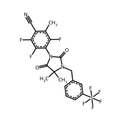 Cc1c(F)c(N2C(=O)N(Cc3cccc(S(F)(F)(F)(F)F)c3)C(C)(C)C2=O)c(F)c(F)c1C#N